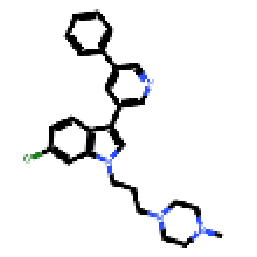 CN1CCN(CCCn2cc(-c3cncc(-c4ccccc4)c3)c3ccc(Cl)cc32)CC1